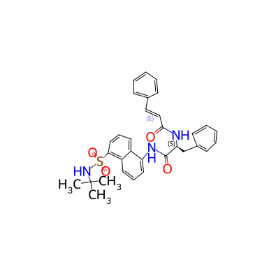 CC(C)(C)NS(=O)(=O)c1cccc2c(NC(=O)[C@H](Cc3ccccc3)NC(=O)/C=C/c3ccccc3)cccc12